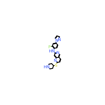 Fc1cc(-n2cccn2)ccc1Nc1cc2nc(SC3CCNCC3)ccc2cn1